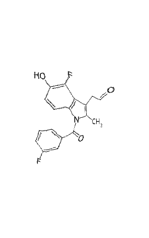 Cc1c(CC=O)c2c(F)c(O)ccc2n1C(=O)c1cccc(F)c1